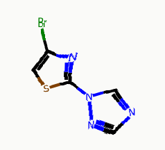 Brc1csc(-n2cncn2)n1